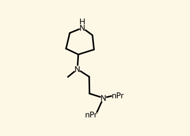 CCCN(CCC)CCN(C)C1CCNCC1